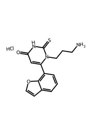 Cl.NCCCn1c(-c2cccc3ccoc23)cc(=O)[nH]c1=S